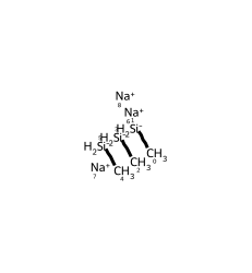 C[SiH2-].C[SiH2-].C[SiH2-].[Na+].[Na+].[Na+]